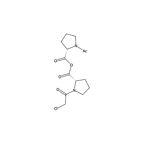 CC(=O)N1CCC[C@H]1C(=O)OC(=O)[C@@H]1CCCN1C(=O)CCl